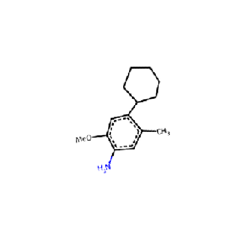 COc1cc(C2CCCCC2)c(C)cc1N